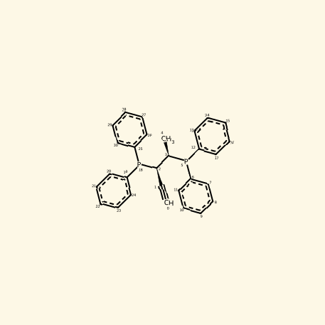 C#C[C@H]([C@@H](C)P(c1ccccc1)c1ccccc1)P(c1ccccc1)c1ccccc1